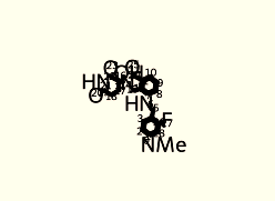 CNc1ccc(CNc2cccc3c2CN(C2(O)CCC(=O)NC2=O)C3=O)c(F)c1